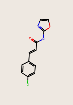 O=C(/C=C/c1ccc(Cl)cc1)Nc1ncco1